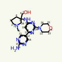 CN1CCCC(CO)(Nc2cc(-c3cnc(N)nc3)nc(N3CCOCC3)n2)C1